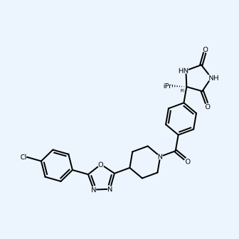 CC(C)[C@]1(c2ccc(C(=O)N3CCC(c4nnc(-c5ccc(Cl)cc5)o4)CC3)cc2)NC(=O)NC1=O